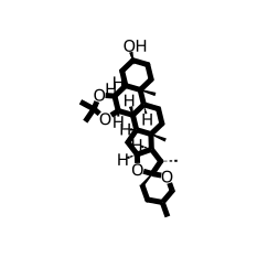 CC1CC[C@@]2(OC1)O[C@H]1C[C@H]3[C@@H]4[C@H]5OC(C)(C)O[C@@H]5[C@H]5C[C@@H](O)CC[C@]5(C)[C@H]4CC[C@]3(C)[C@H]1[C@@H]2C